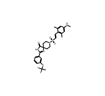 CNc1cc(C)c(C=CS(=O)(=O)N2CCC3(CC2)N=C(c2cccc(SC(F)(F)F)c2)NC3=O)c(C)c1